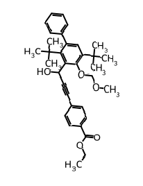 CCOC(=O)c1ccc(C#CC(O)c2c(OCOC)c(C(C)(C)C)cc(-c3ccccc3)c2C(C)(C)C)cc1